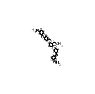 CCc1c(Oc2ccc(Oc3cccc(N)c3)cc2)cccc1Oc1ccc(Oc2cccc(N)c2)cc1